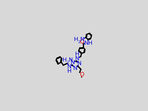 COCCC1=NC(NCCc2ccccc2)N(N)C(NCc2ccc(C(=O)Nc3ccccc3N)cc2)=N1